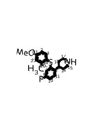 COc1ccc(Sc2cc(F)ccc2C2CCNCC2)c(C)c1